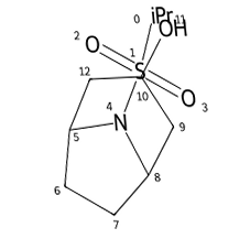 CC(C)S(=O)(=O)N1C2CCC1CC(O)C2